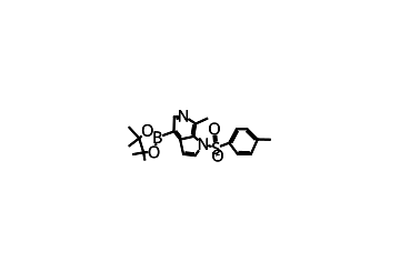 Cc1ccc(S(=O)(=O)n2ccc3c(B4OC(C)(C)C(C)(C)O4)cnc(C)c32)cc1